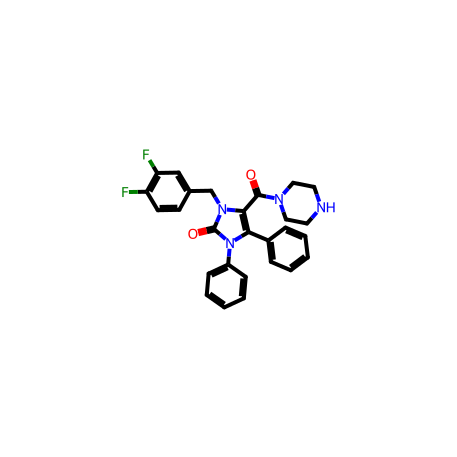 O=C(c1c(-c2ccccc2)n(-c2ccccc2)c(=O)n1Cc1ccc(F)c(F)c1)N1CCNCC1